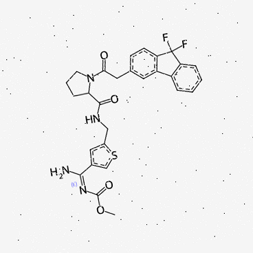 COC(=O)/N=C(/N)c1csc(CNC(=O)C2CCCN2C(=O)Cc2ccc3c(c2)-c2ccccc2C3(F)F)c1